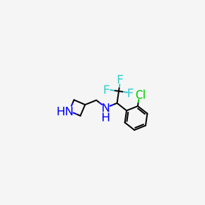 FC(F)(F)C(NCC1CNC1)c1ccccc1Cl